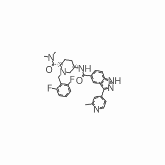 Cc1cc(-c2n[nH]c3ccc(C(=O)N[C@@H]4CC[C@@H](C(=O)N(C)C)N(Cc5c(F)cccc5F)C4)cc23)ccn1